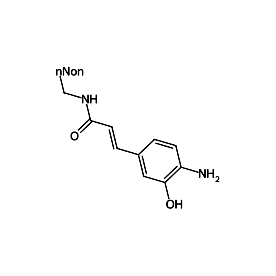 CCCCCCCCCCNC(=O)C=Cc1ccc(N)c(O)c1